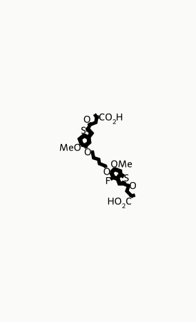 COc1cc2sc(C(=O)CC(C)C(=O)O)cc2cc1OCCCCCOc1c(OC)cc2sc(C(=O)CC(C)C(=O)O)cc2c1F